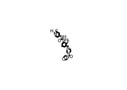 Cc1cc(NC(=O)Nc2cccc(CN3CCN(C(=O)N4CCOCC4)CC3)c2F)ccn1